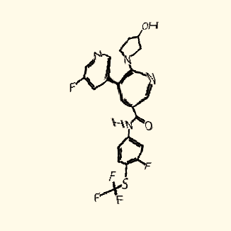 O=C(Nc1ccc(SC(F)(F)F)c(F)c1)c1cnc(N2CCC(O)C2)c(-c2cncc(F)c2)c1